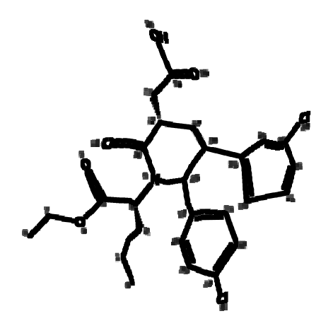 CCC[C@H](C(=O)OCC)N1C(=O)[C@H](CC(=O)O)CC(c2cccc(Cl)c2)C1c1ccc(Cl)cc1